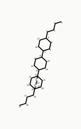 CCCCC1CCC(C2CCC(C34CCC(CCCC)(CC3)CC4)CC2)CC1